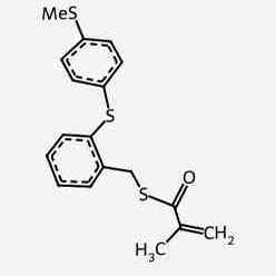 C=C(C)C(=O)SCc1ccccc1Sc1ccc(SC)cc1